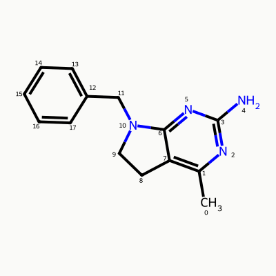 Cc1nc(N)nc2c1CCN2Cc1ccccc1